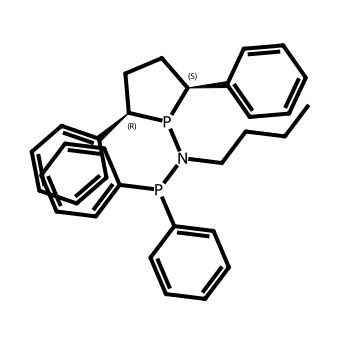 CCCCN(P(c1ccccc1)c1ccccc1)P1[C@@H](c2ccccc2)CC[C@H]1c1ccccc1